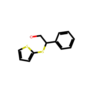 [O]CC(Sc1cccs1)c1ccccc1